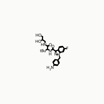 CC(C)(C)C(NC(=O)c1nn(Cc2ccc(N)cc2)c2cc(F)ccc12)C(=O)NCC(O)CO